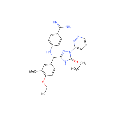 CC(=O)O.COc1cc([C@H](Nc2ccc(C(=N)N)cc2)c2nn(-c3cccnn3)c(=O)[nH]2)ccc1OCC#N